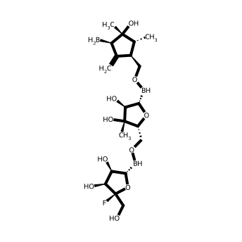 B[C@@H]1C(=C)[C@H](COB[C@@H]2O[C@H](COB[C@@H]3O[C@](F)(CO)[C@@H](O)[C@H]3O)[C@](C)(O)[C@H]2O)[C@@H](C)[C@@]1(C)O